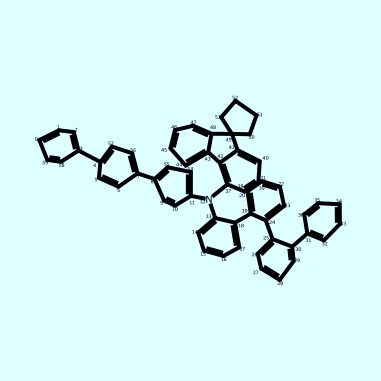 c1ccc(-c2ccc(-c3ccc(N(c4ccccc4-c4ccccc4-c4ccccc4-c4ccccc4)c4cccc5c4-c4ccccc4C54CCCC4)cc3)cc2)cc1